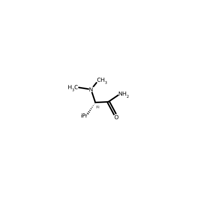 CC(C)[C@@H](C(N)=O)N(C)C